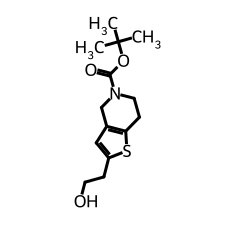 CC(C)(C)OC(=O)N1CCc2sc(CCO)cc2C1